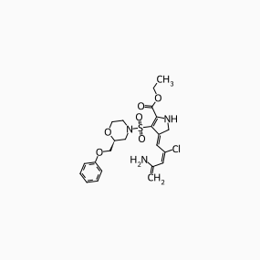 C=C(N)/C=C(Cl)\C=C1/CNC(C(=O)OCC)=C1S(=O)(=O)N1CCO[C@H](COc2ccccc2)C1